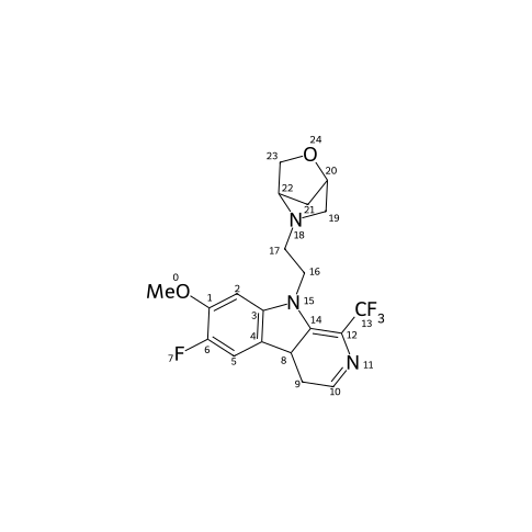 COc1cc2c(cc1F)C1CC=NC(C(F)(F)F)=C1N2CCN1CC2CC1CO2